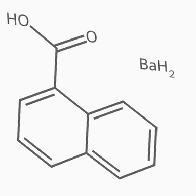 O=C(O)c1cccc2ccccc12.[BaH2]